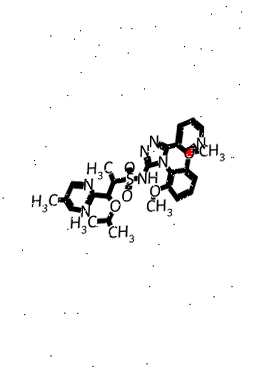 COc1cccc(OC)c1-n1c(NS(=O)(=O)C(C)C(OC(C)C)c2ncc(C)cn2)nnc1-c1cccnc1